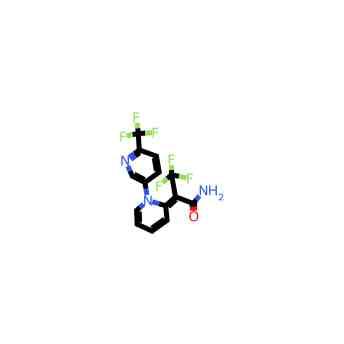 NC(=O)/C(=C1\C=CC=CN1c1ccc(C(F)(F)F)nc1)C(F)(F)F